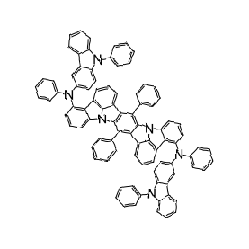 c1ccc(-c2c3c4cccc5c6c(N(c7ccccc7)c7ccc8c(c7)c7ccccc7n8-c7ccccc7)cccc6n(c3c(-c3ccccc3)c3c6cccc7c8c(N(c9ccccc9)c9ccc%10c(c9)c9ccccc9n%10-c9ccccc9)cccc8n(c23)c76)c54)cc1